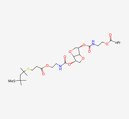 CCCC(=O)OCCNC(=O)O[C@@H]1COC2C1OC[C@H]2OC(=O)NCCOC(=O)CCSC(C)(C)CC(C)(C)SC